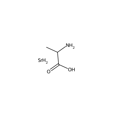 CC(N)C(=O)O.[SrH2]